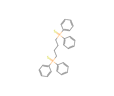 S=P(CCCCP(=S)(c1ccccc1)c1ccccc1)(c1ccccc1)c1ccccc1